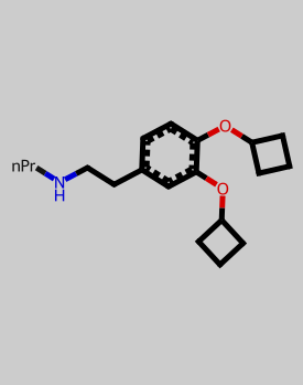 CCCNCCc1ccc(OC2CCC2)c(OC2CCC2)c1